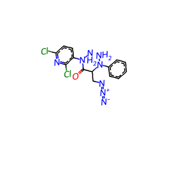 [N-]=[N+]=NCC(C(=O)N(N)c1ccc(Cl)nc1Cl)N(N)c1ccccc1